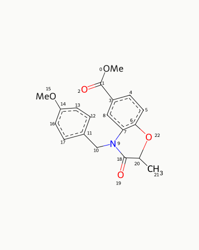 COC(=O)c1ccc2c(c1)N(Cc1ccc(OC)cc1)C(=O)C(C)O2